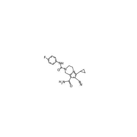 N#Cc1c(C(N)=O)c2n(c1C1CC1)CCN(C(=O)Nc1ccc(F)cc1)C2